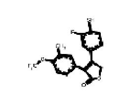 Cc1cc(C2=C(c3ccc(S)c(F)c3)COC2=O)ccc1OC(F)(F)F